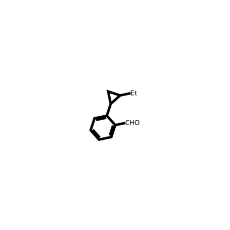 CCC1CC1c1ccccc1C=O